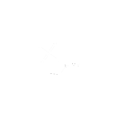 CCOCC.O=S(=O)([O-])[O-].[Mg+2]